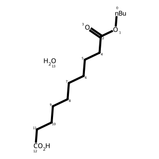 CCCCOC(=O)CCCCCCCCC(=O)O.O